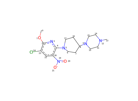 COc1nc(N2CCC(N3CCN(C)CC3)CC2)c([N+](=O)[O-])cc1Cl